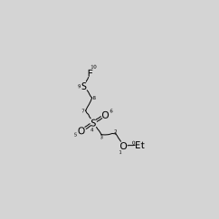 CCOCCS(=O)(=O)CCSF